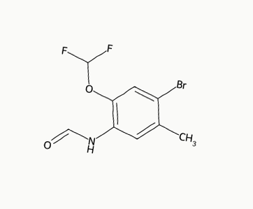 Cc1cc(NC=O)c(OC(F)F)cc1Br